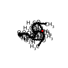 CCCCCCCCC(CCCCCC)C(=O)NCC(C)(C)COCC(C)(C)CNC(=O)c1cc(OCCNC(=O)CC(C)(C)OCC(C)(C)CNC(=O)CCN2C(=O)C=CC2=O)cc(C(=O)NCC(C)(C)COCC(C)(C)CNC(=O)C(CCCCCC)CCCCCCCC)c1